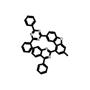 Cc1cc(-c2nc(-c3ccccc3)c3ccccc3n2)c2c(c1)oc1ccc(-c3nc(-c4ccccc4)nc(-c4ccccc4)n3)cc12